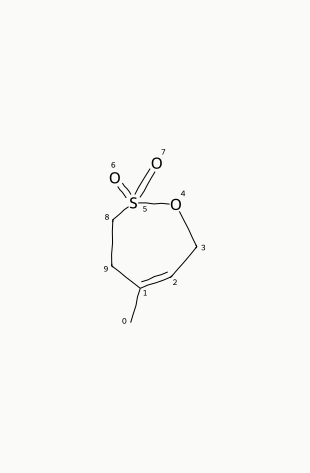 CC1=CCOS(=O)(=O)CC1